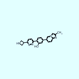 Cc1cn2cc(-c3ccc(-c4ccc(C5CNC5)nn4)c(O)c3)ccc2n1